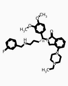 CCN1CCN(c2cccc3c2CN([C@H](CCCNCc2cccc(F)c2)c2ccc(OC)c(OC)c2)C3=O)CC1